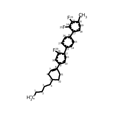 CCCCCC1CC=C(c2ccc(-c3ccc(-c4ccc(C)c(F)c4F)cc3)c(F)c2)CC1